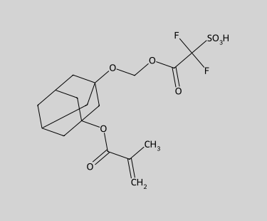 C=C(C)C(=O)OC12CC3CC(CC(OCOC(=O)C(F)(F)S(=O)(=O)O)(C3)C1)C2